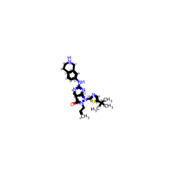 C=CCn1c(=O)c2cnc(Nc3ccc4c(c3)CNCC4)nc2n1-c1ncc(C(C)(C)C)s1